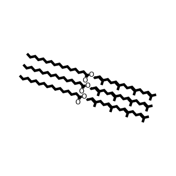 CCCCCCCCCCCCCCCC(=O)OC/C=C(\C)CC/C=C(\C)CC/C=C(\C)CCC=C(C)C.CCCCCCCCCCCCCCCC(=O)OC/C=C(\C)CC/C=C(\C)CC/C=C(\C)CCC=C(C)C.CCCCCCCCCCCCCCCC(=O)OC/C=C(\C)CC/C=C(\C)CC/C=C(\C)CCC=C(C)C